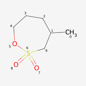 CC1CCCOS(=O)(=O)C1